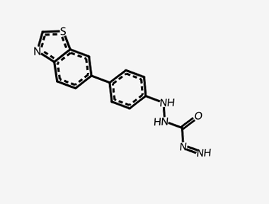 N=NC(=O)NNc1ccc(-c2ccc3ncsc3c2)cc1